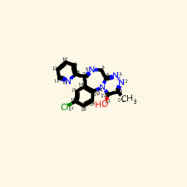 CC1=NN=C2CN=C(c3ccccn3)c3cc(Cl)ccc3N2C1O